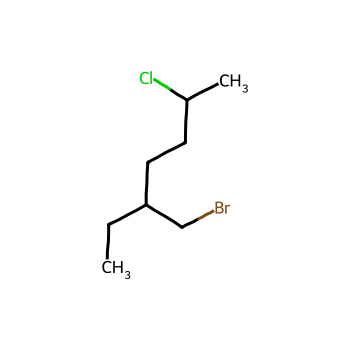 CCC(CBr)CCC(C)Cl